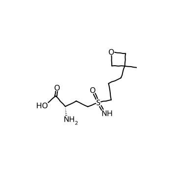 CC1(CCCS(=N)(=O)CC[C@H](N)C(=O)O)COC1